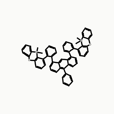 C[Si]1(C)c2ccccc2Oc2cccc(-c3ccccc3-c3cccc4c(-c5ccccc5)c5cccc(-c6ccccc6-c6cccc7c6[Si](C)(C)c6ccccc6O7)c5cc34)c21